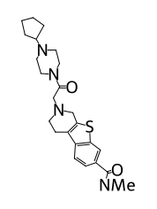 CNC(=O)c1ccc2c3c(sc2c1)CN(CC(=O)N1CCN(C2CCCC2)CC1)CC3